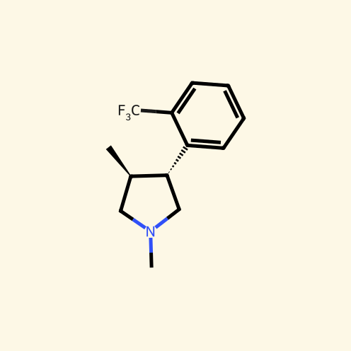 C[C@@H]1CN(C)C[C@H]1c1ccccc1C(F)(F)F